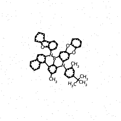 Cc1cc2c3c(c1)N(c1ccc(C(C)(C)C)cc1C)c1cc4c(cc1B3N(c1cccc3c1oc1ccccc13)c1ccc3ccccc3c1-2)Oc1ccccc1O4